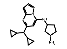 N[C@H]1CCC(Nc2cc(C(C3CC3)C3CC3)nc3ccnn23)C1